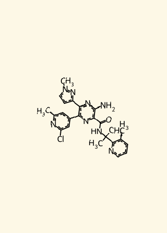 Cc1cc(-c2nc(C(=O)NC(C)(C)c3ncccc3C)c(N)nc2-c2ccn(C)n2)cc(Cl)n1